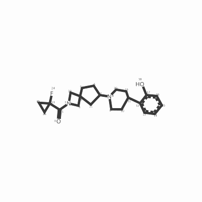 O=C(N1CC2(CCC(N3CCC(c4ccccc4O)CC3)C2)C1)C1(F)CC1